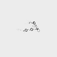 COC(=O)c1ccc(CCc2ccc(BC(=O)c3c(NC(=O)c4cccc(CN[C@@H](CO)C(C)C)c4)sc4c3CCCC4)cc2)cc1